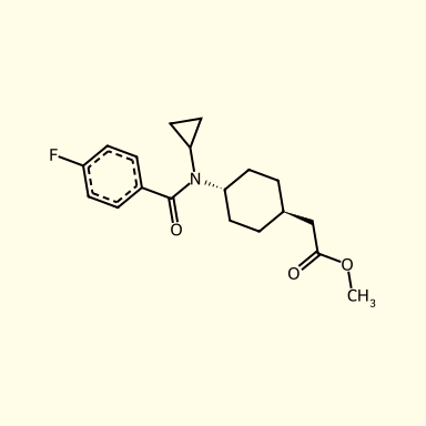 COC(=O)C[C@H]1CC[C@H](N(C(=O)c2ccc(F)cc2)C2CC2)CC1